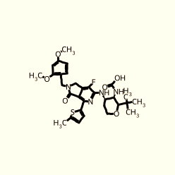 COc1ccc(CN2Cc3c(F)c(N[C@@H]4CCOC(C(C)(C)C)[C@@H]4NC(=O)O)nc(-c4ccc(C)s4)c3C2=O)c(OC)c1